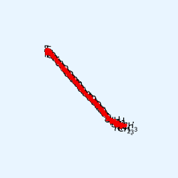 CCCN(CCC)C(=O)C1=Cc2ccc(C(=O)Nc3ccc(CNC(=O)CCOCCOCCOCCOCCOCCOCCOCCOCCOCCOCCOCCOCCOCCOCCOCCOCCOCCOCCOCCOCCOCCOCCOCCOCCOCCC(=O)Oc4c(F)c(F)cc(F)c4F)cn3)cc2N=C(N)C1